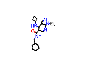 CCn1ncc2c(NC3CCC3)c(C(=O)NCc3ccccc3)cnc21